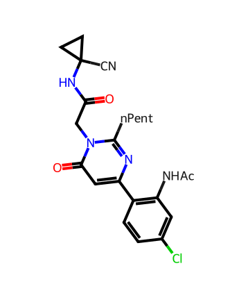 CCCCCc1nc(-c2ccc(Cl)cc2NC(C)=O)cc(=O)n1CC(=O)NC1(C#N)CC1